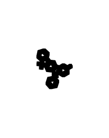 Cc1ccc2c(c1)c1cc3c(cc1n2-c1ccccc1)C(C)(C)C1=C3C=CCC1